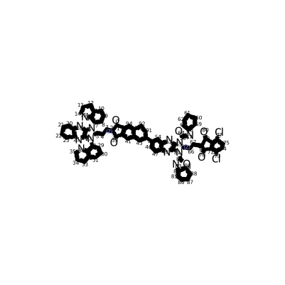 O=C1/C(=C/C=C2N(c3cccc4cccnc34)c3nc4ccccc4nc3N2c2cccc3cccnc23)C(=O)c2cc3cc(-c4ccc5nc6c(nc5c4)N(c4nc5ccccc5o4)/C(=C\C=C4C(=O)c5c(Cl)ccc(Cl)c5C4=O)N6c4nc5ccccc5o4)ccc3cc21